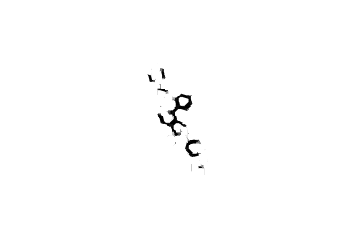 O=C(COc1cc(F)ccc1-c1nccc2c1CN(c1ccc(OC(F)F)nc1)C2=O)N1CCOCC1